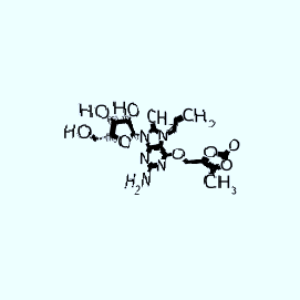 C=CCN1C(=C)N([C@@H]2O[C@H](CO)[C@@H](O)[C@H]2O)c2nc(N)nc(OCc3oc(=O)oc3C)c21